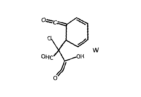 O=C=C1C=CC=CC1C(Cl)(C=O)C(O)=C=O.[W]